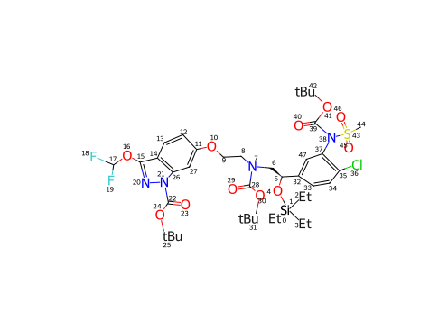 CC[Si](CC)(CC)O[C@@H](CN(CCOc1ccc2c(OC(F)F)nn(C(=O)OC(C)(C)C)c2c1)C(=O)OC(C)(C)C)c1ccc(Cl)c(N(C(=O)OC(C)(C)C)S(C)(=O)=O)c1